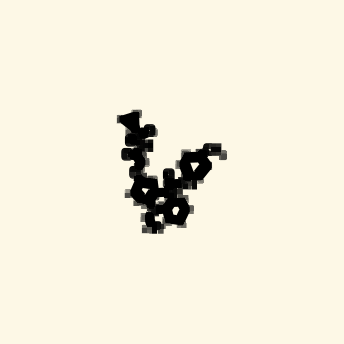 Cc1ccc(NC(=O)Nc2cc(OCC(=O)NS(=O)(=O)C3CC3)ccc2N(CC(C)C)C2CCCCC2)cc1